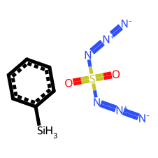 [N-]=[N+]=NS(=O)(=O)N=[N+]=[N-].[SiH3]c1ccccc1